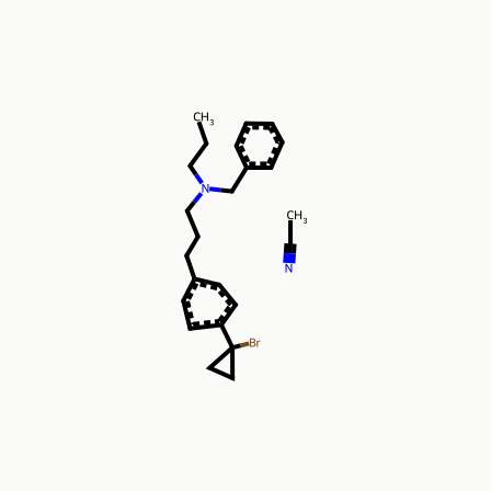 CC#N.CCCN(CCCc1ccc(C2(Br)CC2)cc1)Cc1ccccc1